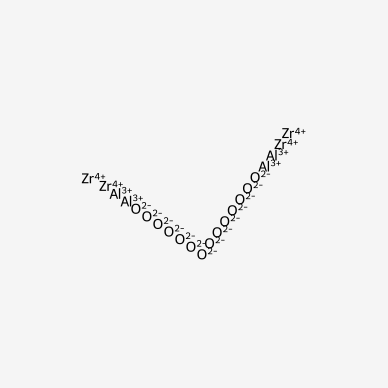 [Al+3].[Al+3].[Al+3].[Al+3].[O-2].[O-2].[O-2].[O-2].[O-2].[O-2].[O-2].[O-2].[O-2].[O-2].[O-2].[O-2].[O-2].[O-2].[Zr+4].[Zr+4].[Zr+4].[Zr+4]